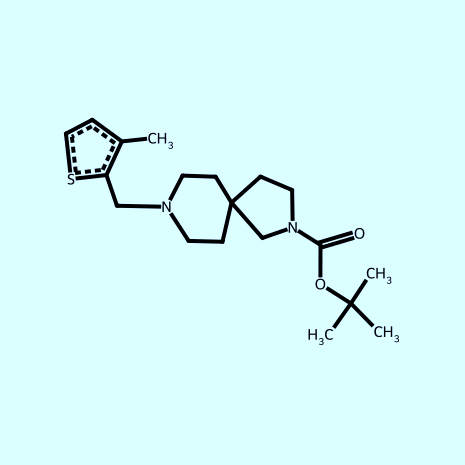 Cc1ccsc1CN1CCC2(CC1)CCN(C(=O)OC(C)(C)C)C2